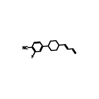 C=C/C=C/C1CCC(c2ccc(C#N)c(F)c2)CC1